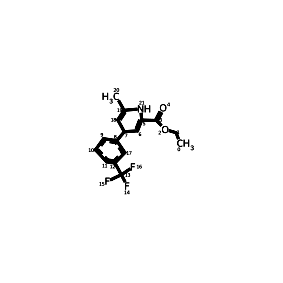 CCOC(=O)C1=CC(c2cccc(C(F)(F)F)c2)C=C(C)N1